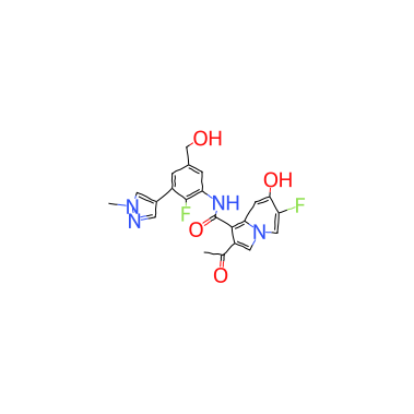 CC(=O)c1cn2cc(F)c(O)cc2c1C(=O)Nc1cc(CO)cc(-c2cnn(C)c2)c1F